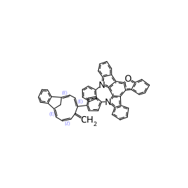 C=C1/C=C\C=C2/C/C(=C\C=C/1c1ccc(-n3c4ccccc4c4c5c6ccccc6oc5c5c6ccccc6n(-c6ccccc6)c5c43)cc1)c1ccccc12